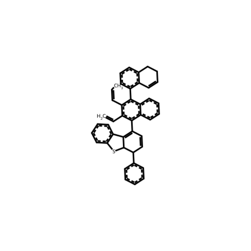 C=Cc1c(/C=C\C)c(-c2cccc3c2C=CCC3)c2ccccc2c1C1=C2c3ccccc3SC2C(c2ccccc2)C=C1